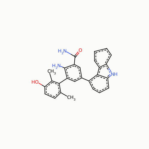 Cc1ccc(O)c(C)c1-c1cc(-c2cccc3[nH]c4ccccc4c23)cc(C(N)=O)c1N